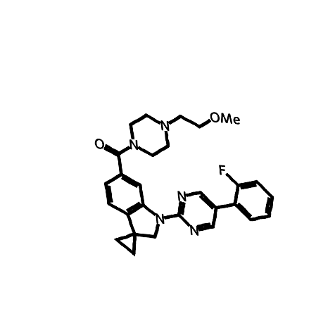 COCCN1CCN(C(=O)c2ccc3c(c2)N(c2ncc(-c4ccccc4F)cn2)CC32CC2)CC1